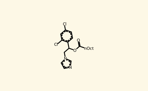 CCCCCCCCC(=O)OC(Cn1ccnc1)c1ccc(Cl)cc1Cl